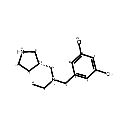 CCN(Cc1cc(Cl)cc(Cl)c1)C[C@@H]1CCNC1